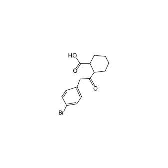 O=C(O)C1CCCCC1C(=O)Cc1ccc(Br)cc1